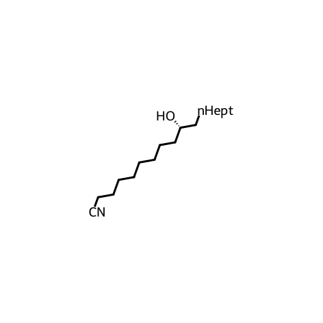 CCCCCCCC[C@@H](O)CCCCCCCCC#N